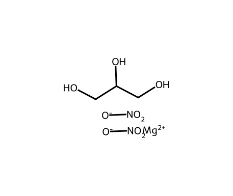 O=[N+]([O-])[O-].O=[N+]([O-])[O-].OCC(O)CO.[Mg+2]